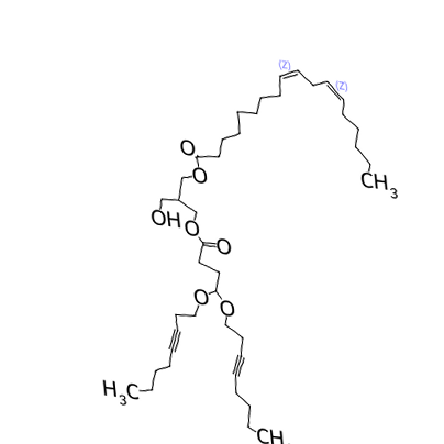 CCCCC#CCCOC(CCC(=O)OCC(CO)COC(=O)CCCCCCC/C=C\C/C=C\CCCCC)OCCC#CCCCC